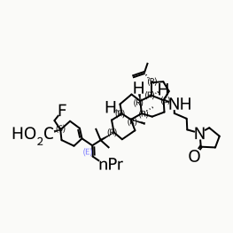 C=C(C)[C@@H]1CC[C@]2(NCCCN3CCCC3=O)CC[C@]3(C)[C@H](CC[C@@H]4C[C@H](C(C)(C)/C(=C\CCC)C5=CC[C@](CF)(C(=O)O)CC5)CC[C@]43C)[C@@H]12